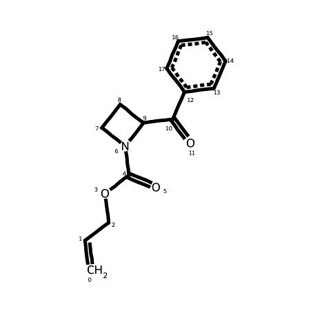 C=CCOC(=O)N1CCC1C(=O)c1ccccc1